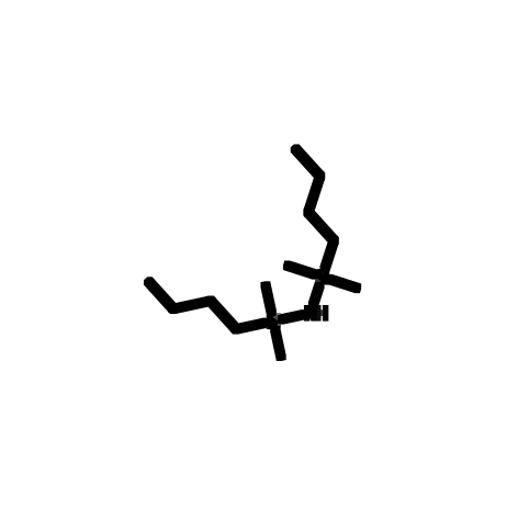 CCCC[Si](C)(C)N[Si](C)(C)CCCC